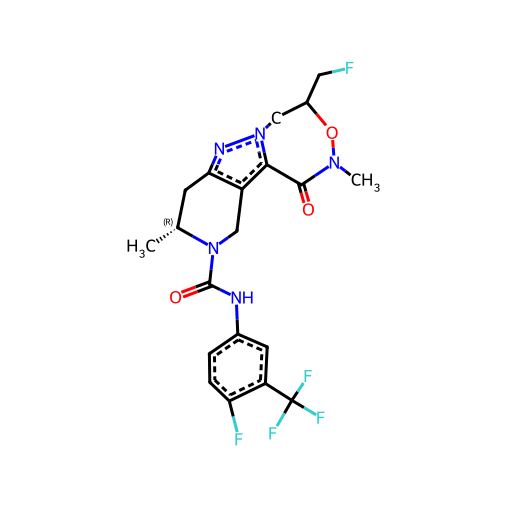 C[C@@H]1Cc2nn3c(c2CN1C(=O)Nc1ccc(F)c(C(F)(F)F)c1)C(=O)N(C)OC(CF)C3